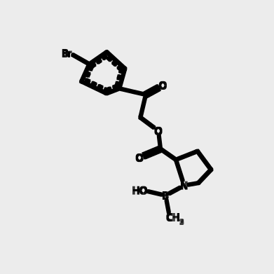 CB(O)N1CCCC1C(=O)OCC(=O)c1ccc(Br)cc1